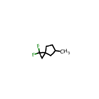 CC1CCC2(C1)CC2(F)F